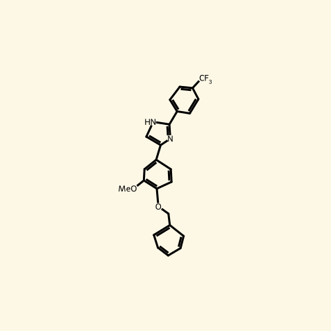 COc1cc(-c2c[nH]c(-c3ccc(C(F)(F)F)cc3)n2)ccc1OCc1ccccc1